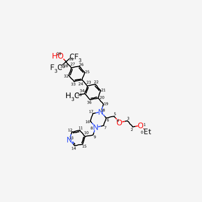 CCOCCOCC1CN(Cc2ccncc2)CCN1Cc1ccc(-c2ccc(C(O)(C(F)(F)F)C(F)(F)F)cc2)c(C)c1